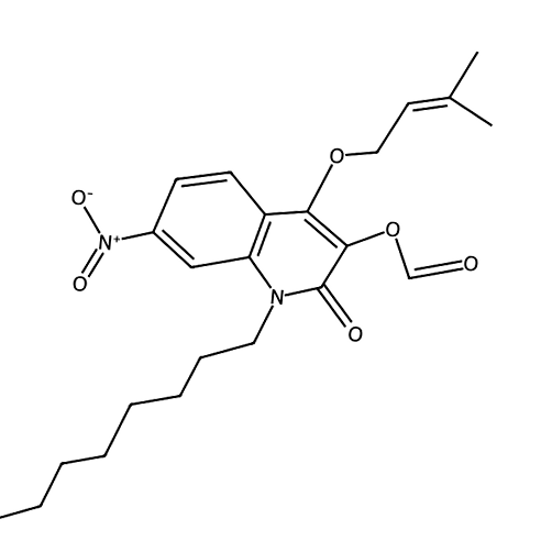 CCCCCCCCn1c(=O)c(OC=O)c(OCC=C(C)C)c2ccc([N+](=O)[O-])cc21